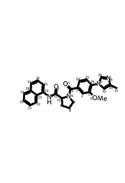 COc1cc(C(=O)N2CCCC2C(=O)Nc2cccc3ccccc23)ccc1-n1cnc(C)c1